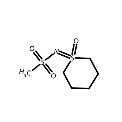 CS(=O)(=O)N=S1(=O)CCCCC1